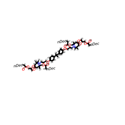 CCCCCCCCCCCC(=O)OCC1COC2(CC(C)(C)N(CC(COc3ccc(C(C)(C)c4ccc(OCC(CN5C(C)(C)CC6(CC5(C)C)OCC(COC(=O)CCCCCCCCCCC)O6)OC(=O)CCCCCCCCCCC)cc4)cc3)OC(=O)CCCCCCCCCCC)C(C)(C)C2)O1